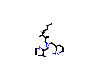 C=C(CN(Cc1ncccc1C)CC1CCCNC1)/C(C)=C\CCC